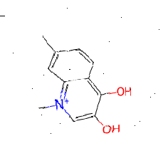 Cc1ccc2c(O)c(O)c[n+](C)c2c1